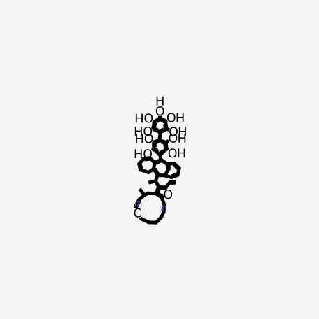 C=Cc1oc2c(c1C(C)C1=C3CC=CC=CC3=C(c3c(O)c(O)c(-c4c(O)c(O)c(O)c(O)c4O)c(O)c3O)C3=CC1C=CC=C3)CC(C)/C=C\CCCCC/C=C\2